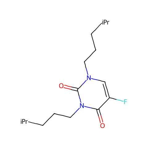 CC(C)CCCn1cc(F)c(=O)n(CCCC(C)C)c1=O